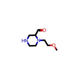 COCCN1CCNCC1[C]=O